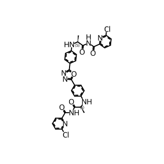 C[C@H](Nc1ccc(-c2nnc(-c3ccc(N[C@@H](C)C(=O)NC(=O)c4cccc(Cl)n4)cc3)o2)cc1)C(=O)NC(=O)c1cccc(Cl)n1